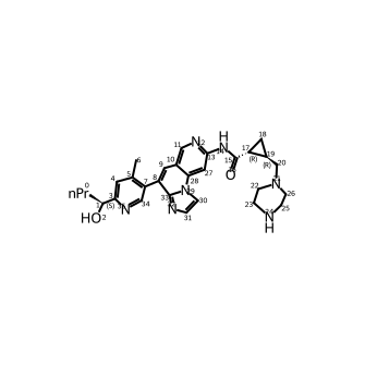 CCC[C@H](O)c1cc(C)c(-c2cc3cnc(NC(=O)[C@@H]4C[C@H]4CN4CCNCC4)cc3n3ccnc23)cn1